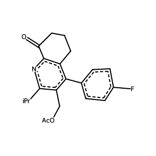 CC(=O)OCc1c(C(C)C)nc2c(c1-c1ccc(F)cc1)CCCC2=O